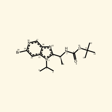 CC(C)n1c([C@H](C)NC(=O)OC(C)(C)C)nc2cnc(Br)cc21